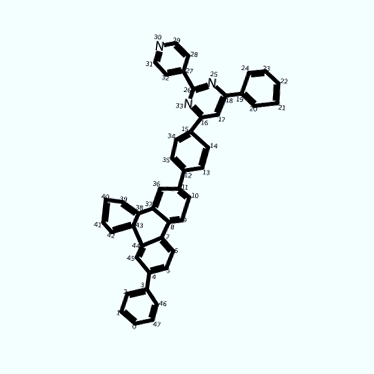 c1ccc(-c2ccc3c4ccc(-c5ccc(-c6cc(-c7ccccc7)nc(-c7ccncc7)n6)cc5)cc4c4ccccc4c3c2)cc1